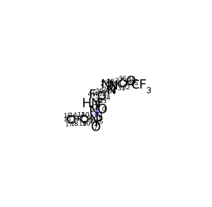 O=C(/N=C1\SCC(=O)N1c1ccc(-c2ccccc2)cc1)Nc1ccc(-c2ncn(-c3ccc(OC(F)(F)F)cc3)n2)cc1F